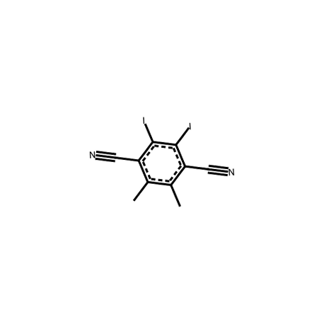 Cc1c(C)c(C#N)c(I)c(I)c1C#N